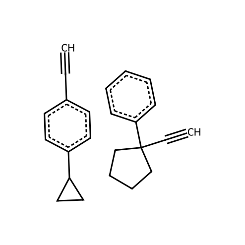 C#CC1(c2ccccc2)CCCC1.C#Cc1ccc(C2CC2)cc1